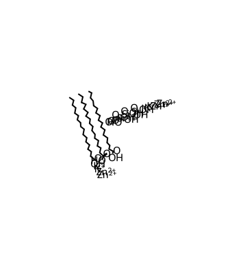 CCCCCCCCCCCCCCCCCC(=O)O.CCCCCCCCCCCCCCCCCC(=O)O.CCCCCCCCCCCCCCCCCC(=O)O.O=[Si](O)O.O=[Si](O)O.O=[Si](O)O.[K+].[K+].[K+].[K+].[K+].[O-2].[O-2].[O-2].[Zn+2].[Zn+2].[Zn+2].[Zn+2].[Zn+2]